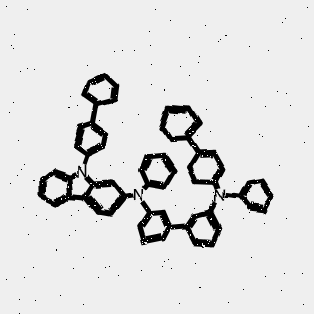 C1=CCCC(C2=CC=C(N(c3ccccc3)c3cccc(-c4cccc(N(c5ccccc5)c5ccc6c7ccccc7n(-c7ccc(-c8ccccc8)cc7)c6c5)c4)c3)CC2)=C1